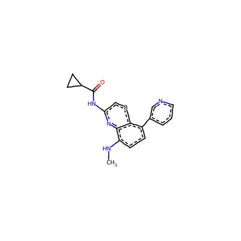 CNc1ccc(-c2cccnc2)c2bcc(NC(=O)C3CC3)nc12